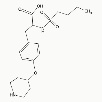 CCCCS(=O)(=O)NC(Cc1ccc(OC2CCNCC2)cc1)C(=O)O